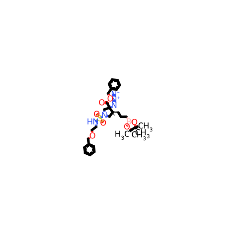 CC1(C)OB(CCC[C@H]2CN(S(=O)(=O)NCCOCc3ccccc3)CC2(N=[N+]=[N-])C(=O)OCc2ccccc2)OC1(C)C